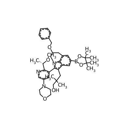 CO[C@@H](C)c1ncc(N2CCOCC2)cc1-c1c(CC(C)(C)CO)c2cc(B3OC(C)(C)C(C)(C)O3)cc3c2n1CC(OCc1ccccc1)C3